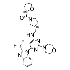 O=C([C@H]1CCCO1)N1CC[C@H](CNc2cc(-n3c(C(F)F)nc4ccccc43)nc(N3CCOCC3)n2)C1